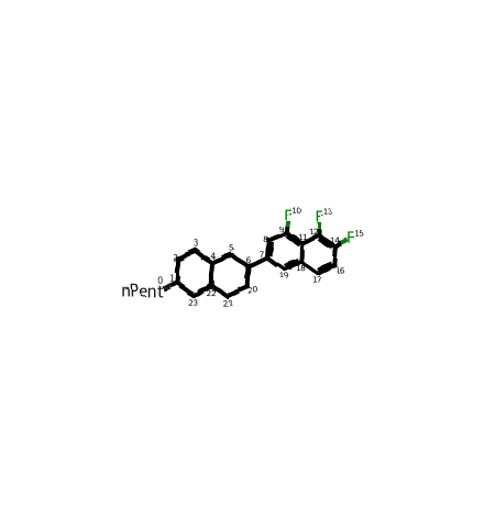 CCCCCC1CCC2CC(c3cc(F)c4c(F)c(F)ccc4c3)CCC2C1